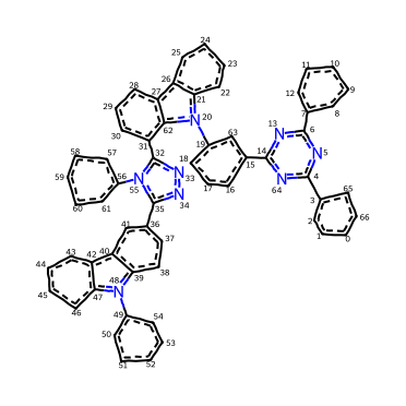 c1ccc(-c2nc(-c3ccccc3)nc(-c3cccc(-n4c5ccccc5c5cccc(-c6nnc(-c7ccc8c(c7)c7ccccc7n8-c7ccccc7)n6-c6ccccc6)c54)c3)n2)cc1